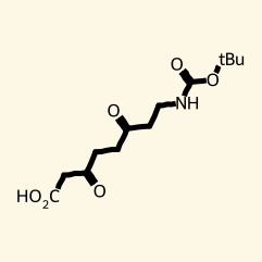 CC(C)(C)OC(=O)NCCC(=O)CCC(=O)CC(=O)O